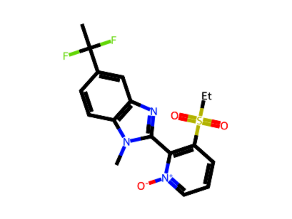 CCS(=O)(=O)c1ccc[n+]([O-])c1-c1nc2cc(C(C)(F)F)ccc2n1C